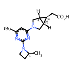 C[C@H]1CCN1c1nc(N2C[C@@H]3[C@@H](CC(=O)O)[C@@H]3C2)cc(C(C)(C)C)n1